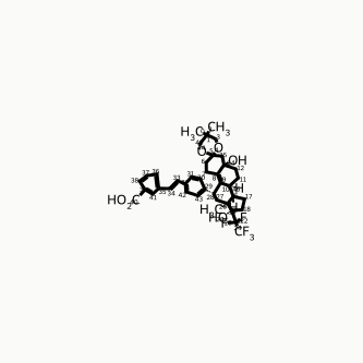 CC1(C)COC2(CCC3=C4[C@@H](CC[C@@]3(O)C2)[C@@H]2CC[C@@](O)(C(F)(F)C(F)(F)F)[C@@]2(C)C[C@@H]4c2ccc(/C=C/c3cccc(C(=O)O)c3)cc2)OC1